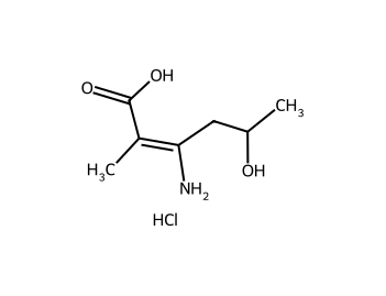 CC(C(=O)O)=C(N)CC(C)O.Cl